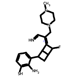 CN1CCN(C/C(C=N)=C2\C(F)C3CC(c4cccc(S)c4N)C23)CC1